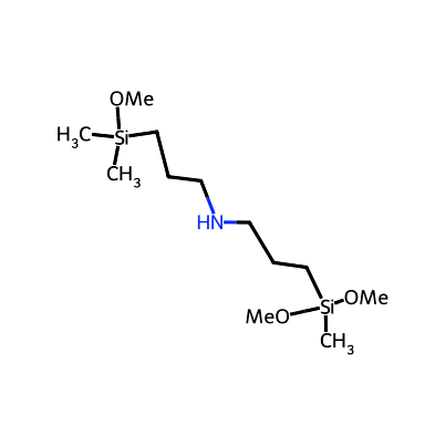 CO[Si](C)(C)CCCNCCC[Si](C)(OC)OC